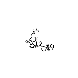 COCCCN1C(=O)c2cccc3c(NC(=O)C4CCCN(S(=O)(=O)c5cccs5)C4)cc(Br)c1c23